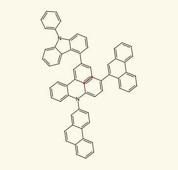 c1ccc(-n2c3ccccc3c3c(-c4cccc(-c5ccccc5N(c5ccc(-c6cc7ccccc7c7ccccc67)cc5)c5ccc6c(ccc7ccccc76)c5)c4)cccc32)cc1